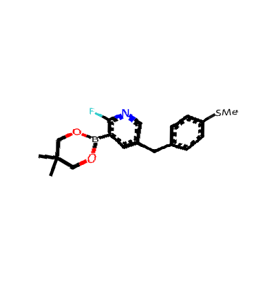 CSc1ccc(Cc2cnc(F)c(B3OCC(C)(C)CO3)c2)cc1